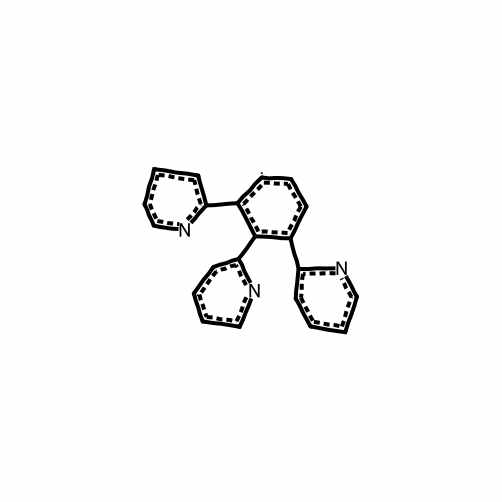 [c]1ccc(-c2ccccn2)c(-c2ccccn2)c1-c1ccccn1